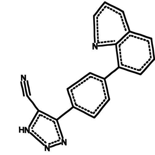 N#Cc1[nH]nnc1-c1ccc(-c2cccc3cccnc23)cc1